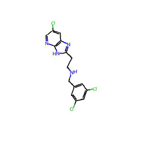 Clc1cc(Cl)cc(CNCCc2nc3cc(Cl)cnc3[nH]2)c1